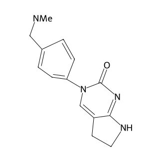 CNCc1ccc(-n2cc3c(nc2=O)NCC3)cc1